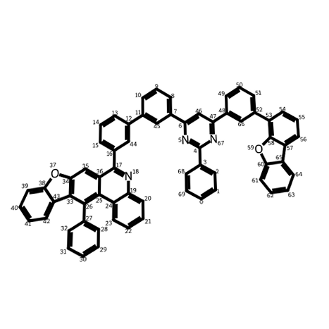 c1ccc(-c2nc(-c3cccc(-c4cccc(-c5nc6ccccc6c6c(-c7ccccc7)c7c(cc56)oc5ccccc57)c4)c3)cc(-c3cccc(-c4cccc5c4oc4ccccc45)c3)n2)cc1